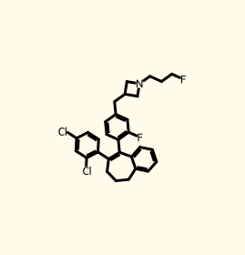 FCCCN1CC(Cc2ccc(C3=C(c4ccc(Cl)cc4Cl)CCCc4ccccc43)c(F)c2)C1